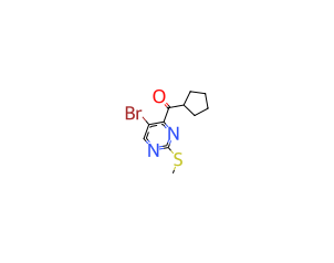 CSc1ncc(Br)c(C(=O)C2CCCC2)n1